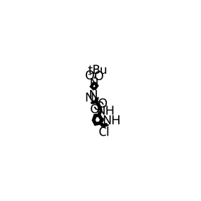 CC(C)(C)OC(=O)N1CC(n2cc(S(=O)(=O)Nc3cccc4c(Cl)c[nH]c34)cn2)C1